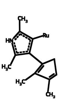 CC1=CCC(c2c(C)[nH]c(C)[c]2[Ru])=C1C